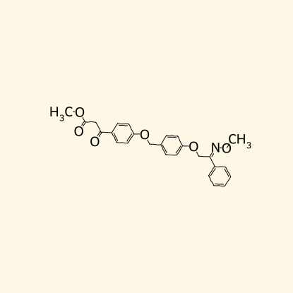 CON=C(COc1ccc(COc2ccc(C(=O)CC(=O)OC)cc2)cc1)c1ccccc1